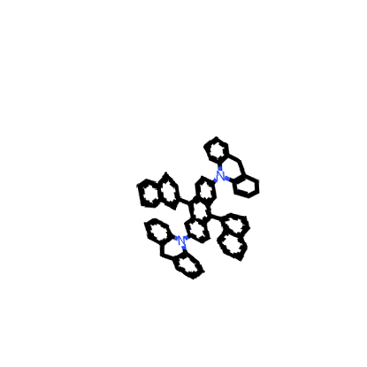 C1=CC2=C(CC1)Cc1ccccc1N2c1ccc2c(-c3ccc4ccccc4c3)c3cc(N4c5ccccc5Cc5ccccc54)ccc3c(-c3cccc4ccccc34)c2c1